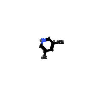 CCc1cn[c]c(C#N)c1